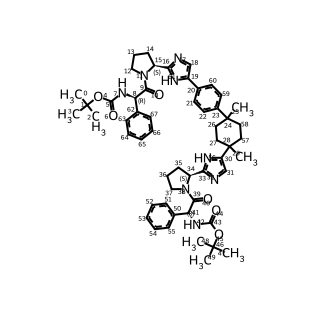 CC(C)(C)OC(=O)N[C@@H](C(=O)N1CCC[C@H]1c1ncc(-c2ccc(C3(C)CCC(C)(c4cnc([C@@H]5CCCN5C(=O)[C@H](NC(=O)OC(C)(C)C)c5ccccc5)[nH]4)CC3)cc2)[nH]1)c1ccccc1